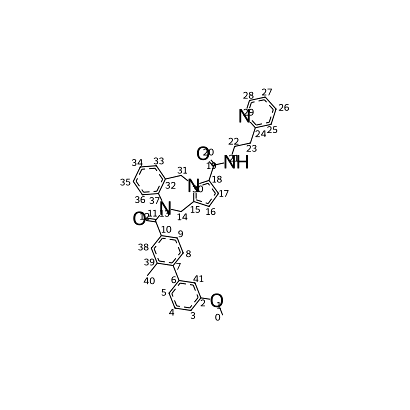 COc1cccc(-c2ccc(C(=O)N3Cc4ccc(C(=O)NCCc5ccccn5)n4Cc4ccccc43)cc2C)c1